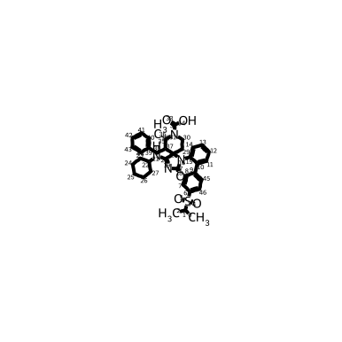 CC(C)S(=O)(=O)c1ccc(-c2ccccc2N2C(=O)N=C(NC3CCCCC3)C23CCN(C(=O)O)[C@@H](C)C3Cc2ccccc2)cc1